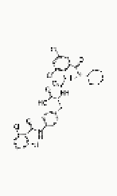 CN(C(=O)c1cc(Cl)cc(Cl)c1NC(=O)NC(Cc1ccc(NC(=O)c2c(Cl)cccc2Cl)cc1)C(=O)O)C1CCCCC1